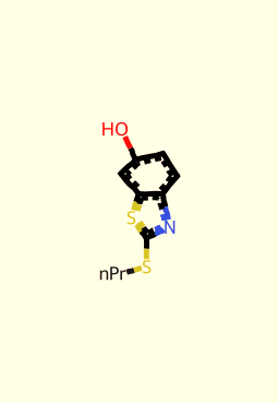 CCCSc1nc2ccc(O)cc2s1